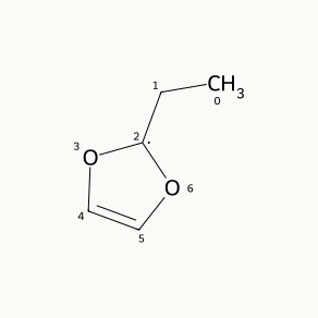 CC[C]1OC=CO1